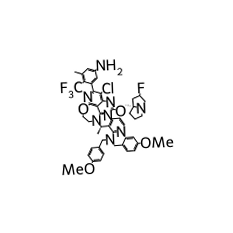 COc1ccc(CN(Cc2ccc(OC)cc2)c2ncccc2[C@@H](C)N2CCOc3nc(-c4cc(N)cc(C)c4C(F)(F)F)c(Cl)c4nc(OC[C@@]56CCCN5C[C@H](F)C6)nc2c34)cc1